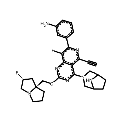 C#Cc1nc(-c2cccc(N)c2)c(F)c2nc(OC[C@@]34CCCN3C[C@H](F)C4)nc(N3CC4CCC(C3)N4)c12